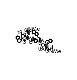 CN[C@@H](C)C(=O)N[C@H](C(=O)N1Cc2ccccc2C[C@H]1CCN(CCc1ccc2ccccc2c1)C(=O)c1ccc(C(=O)N[C@H]2C[C@@H](C(=O)N[C@@H]3CCCc4ccccc43)N(C(=O)[C@@H](NC(=O)[C@H](C)NC)C(C)(C)C)C2)cc1)C(C)(C)C